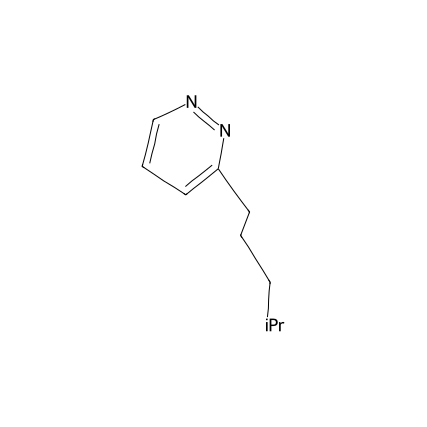 CC(C)CCCc1cccnn1